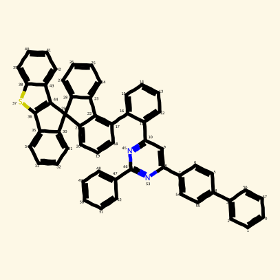 c1ccc(-c2ccc(-c3cc(-c4ccccc4-c4cccc5c4-c4ccccc4C54c5ccccc5-c5sc6ccccc6c54)nc(-c4ccccc4)n3)cc2)cc1